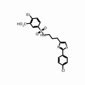 CCc1ccc(S(=O)(=O)NCCCc2csc(-c3ccc(Cl)cc3)n2)cc1C(=O)O